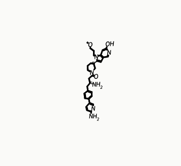 COCCCn1c([C@@H]2CCCN(C(=O)C[C@H](N)Cc3ccc(-c4ccc(N)nc4)cc3)C2)cc2cnc(O)cc21